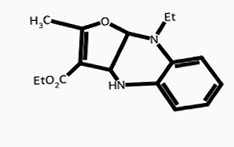 CCOC(=O)C1=C(C)OC2C1Nc1ccccc1N2CC